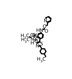 CCC1CCC(c2ncc(-c3ccc(NC(=O)OCc4ccccn4)cc3S(=O)(=O)NC(C)(C)C)s2)CC1